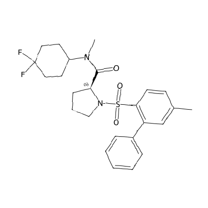 Cc1ccc(S(=O)(=O)N2CCC[C@H]2C(=O)N(C)C2CCC(F)(F)CC2)c(-c2ccccc2)c1